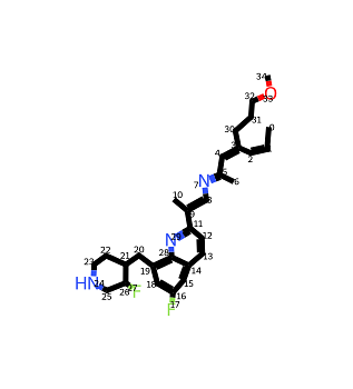 C\C=C/C(=C\C(C)=N\C=C(/C)c1ccc2cc(F)cc(CC3CCNCC3F)c2n1)CCCOC